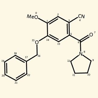 COc1cc(C#N)c(C(=O)N2CCCC2)cc1OCc1ccccc1